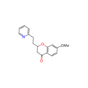 COc1ccc2c(c1)OC(CCc1ccccn1)CC2=O